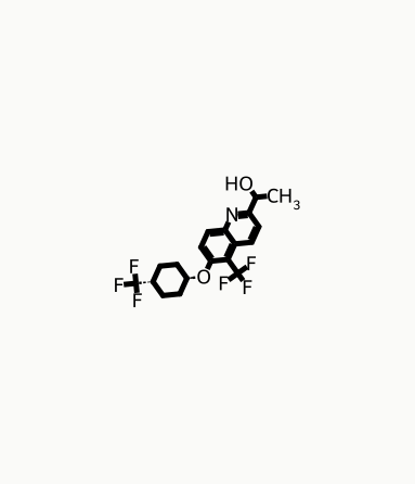 CC(O)c1ccc2c(C(F)(F)F)c(O[C@H]3CC[C@@H](C(F)(F)F)CC3)ccc2n1